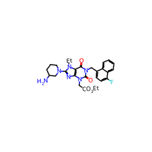 CCOC(=O)Cn1c(=O)n(Cc2ccc(F)c3ccccc23)c(=O)c2c1nc(N1CCCC(N)C1)n2CC